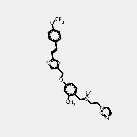 Cc1cc(OCc2coc(C=Cc3ccc(OC(F)(F)F)cc3)n2)ccc1C[S+]([O-])CCn1ccnn1